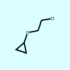 ClCCOC1CC1